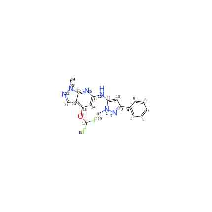 Cn1nc(-c2ccccc2)cc1Nc1cc(OC(F)F)c2cnn(C)c2n1